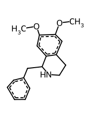 COc1cc2c(cc1OC)C(Cc1ccccc1)NCC2